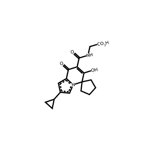 O=C(O)CNC(=O)C1=C(O)C2(CCCC2)n2cc(C3CC3)cc2C1=O